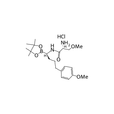 COC[C@@H](N)C(=O)N[C@@H](CCCc1ccc(OC)cc1)B1OC(C)(C)C(C)(C)O1.Cl